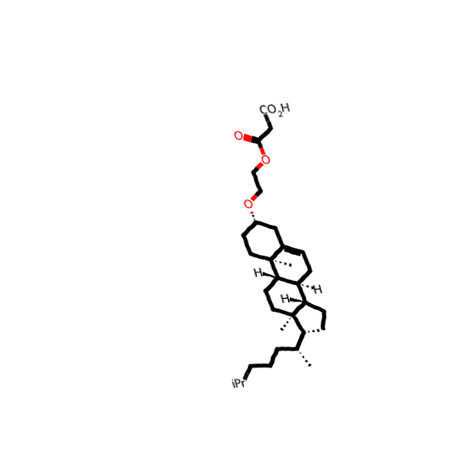 CC(C)CCC[C@@H](C)[C@H]1CC[C@H]2[C@@H]3CC=C4C[C@@H](OCCOC(=O)CC(=O)O)CC[C@]4(C)[C@H]3CC[C@]12C